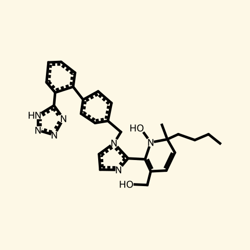 CCCCC1(C)C=CC(CO)=C(c2nccn2Cc2ccc(-c3ccccc3-c3nnn[nH]3)cc2)N1O